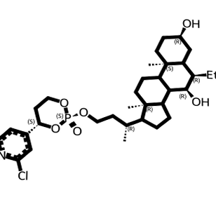 CC[C@@H]1C2C[C@H](O)CC[C@]2(C)C2CC[C@@]3(C)C(CCC3[C@H](C)CCO[P@@]3(=O)OCC[C@@H](c4ccnc(Cl)c4)O3)C2[C@@H]1O